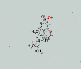 CC[C@@]12CC[C@](O)(CC(C)C)C[C@@H]1CCOc1cc(C(=O)O)ccc12